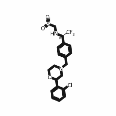 O=[SH](=O)CN[C@@H](c1ccc(CN2CCOC(c3ccccc3Cl)C2)cc1)C(F)(F)F